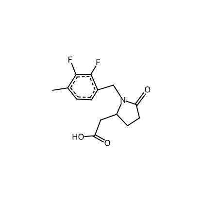 Cc1ccc(CN2C(=O)CCC2CC(=O)O)c(F)c1F